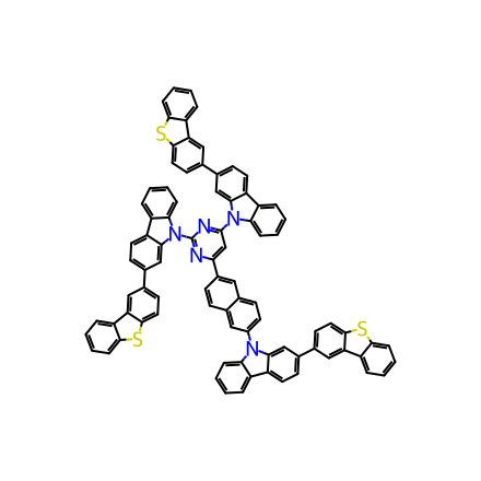 c1ccc2c(c1)sc1ccc(-c3ccc4c5ccccc5n(-c5ccc6cc(-c7cc(-n8c9ccccc9c9ccc(-c%10ccc%11sc%12ccccc%12c%11c%10)cc98)nc(-n8c9ccccc9c9ccc(-c%10ccc%11sc%12ccccc%12c%11c%10)cc98)n7)ccc6c5)c4c3)cc12